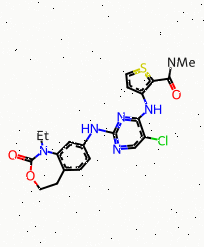 CCN1C(=O)OCCc2ccc(Nc3ncc(Cl)c(Nc4ccsc4C(=O)NC)n3)cc21